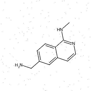 CNc1nccc2cc(CN)ccc12